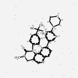 CN1Cc2cnc3ccc(-c4cnc(N5CCOCC5)nc4)nc3c2N(c2ccc(C(C)(C)C#N)cc2)C1=O